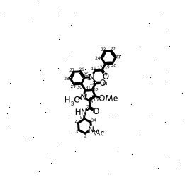 [CH2]C(=O)N1CCCC(NC(=O)c2c(OC)c3c(=O)n(CC(=O)c4ccccc4)c4ccccc4c3n2C)C1